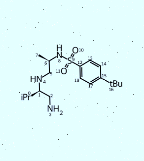 CC(C)[C@H](CN)NC[C@@H](C)NS(=O)(=O)c1ccc(C(C)(C)C)cc1